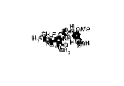 COc1cc(CP(=O)(O)O)ccc1Nc1ncc(C(F)(F)F)c(Nc2ccc(-c3cnn(CC(C)(C)O)c3)c3c2C(=O)N(C)C3)n1